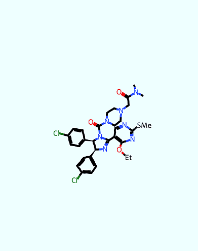 CCOc1nc(SC)ncc1C1=N[C@@H](c2ccc(Cl)cc2)[C@@H](c2ccc(Cl)cc2)N1C(=O)N1CCN(CC(=O)N(C)C)CC1